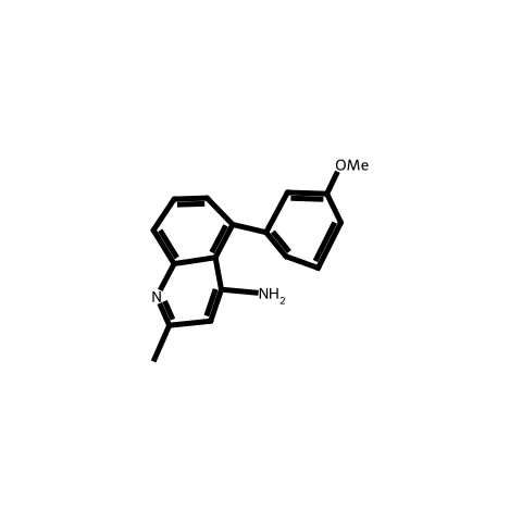 COc1cccc(-c2cccc3nc(C)cc(N)c23)c1